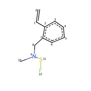 C=Cc1ccccc1CN(C)SF